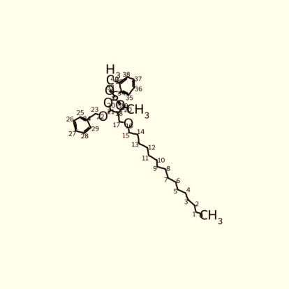 CCCCCCCCCCCCCCCCOCC(CC)C(OCc1ccccc1)OS(=O)(=O)c1ccccc1C